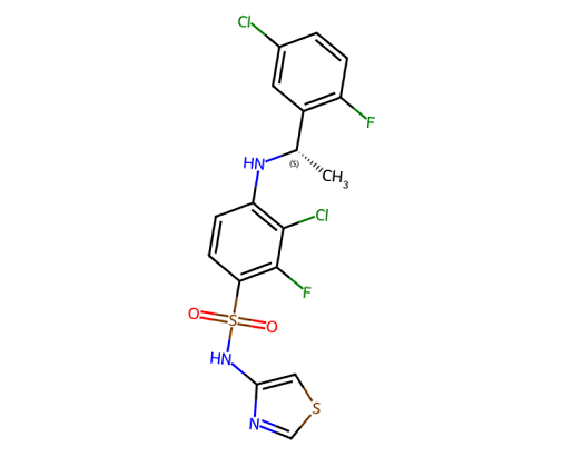 C[C@H](Nc1ccc(S(=O)(=O)Nc2cscn2)c(F)c1Cl)c1cc(Cl)ccc1F